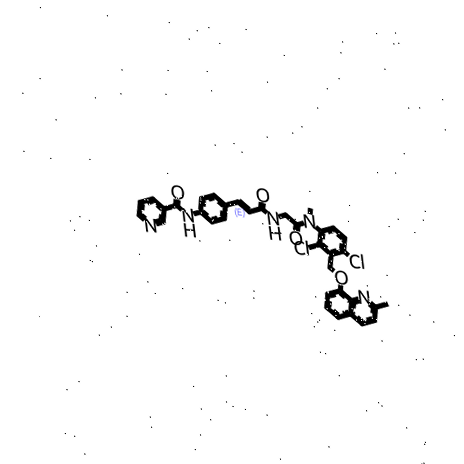 Cc1ccc2cccc(OCc3c(Cl)ccc(N(C)C(=O)CNC(=O)/C=C/c4ccc(NC(=O)c5cccnc5)cc4)c3Cl)c2n1